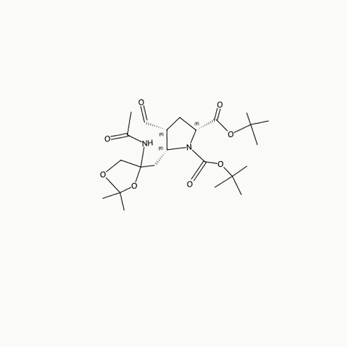 CC(=O)NC1(C[C@@H]2[C@H](C=O)C[C@H](C(=O)OC(C)(C)C)N2C(=O)OC(C)(C)C)COC(C)(C)O1